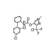 Cn1cc(OC(=O)Nc2ccccc2-c2ccc(Cl)cc2Cl)c(C(F)(F)Cl)n1